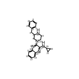 c1ccc(CC2CN(c3nc4ccccc4nc3NC3CC3)CCN2)cc1